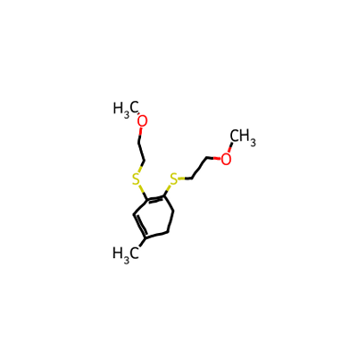 COCCSC1=C(SCCOC)CCC(C)=C1